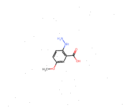 COc1ccc(NN)c(C(=O)O)c1